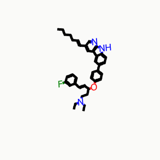 CCCCCC=Cc1cnc2[nH]c3ccc(-c4ccc(OC(C=Cc5cccc(F)c5)CCN(CC)CC)cc4)cc3c2c1